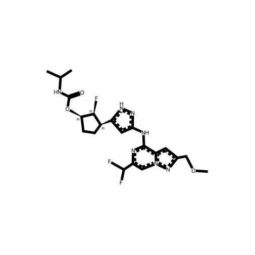 COCc1cc2c(Nc3cc([C@H]4CC[C@@H](OC(=O)NC(C)C)[C@H]4F)[nH]n3)nc(C(F)F)cn2n1